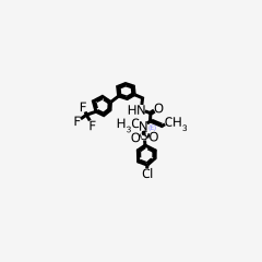 C/C=C(\C(=O)NCc1cccc(-c2ccc(C(F)(F)F)cc2)c1)N(C)S(=O)(=O)c1ccc(Cl)cc1